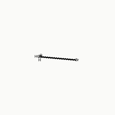 O=C(CCCCCCCCCCCCCCCCCCCCCCCCCCCCCCCBr)NO